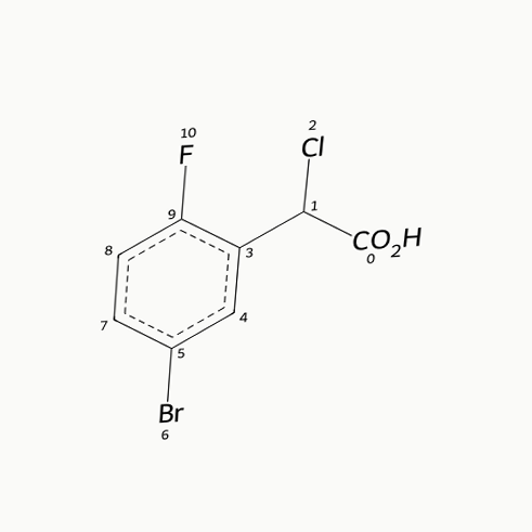 O=C(O)C(Cl)c1cc(Br)ccc1F